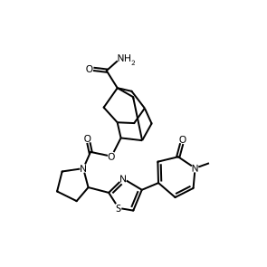 Cn1ccc(-c2csc(C3CCCN3C(=O)OC3C4CC5CC3CC(C(N)=O)(C5)C4)n2)cc1=O